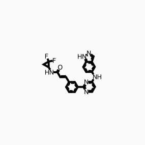 O=C(/C=C/c1cccc(-c2nccc(Nc3ccc4[nH]ncc4c3)n2)c1)NC1CC1(F)F